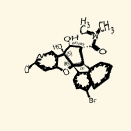 CN(C)C(=O)[C@H]1[C@@H](O)[C@@]2(O)c3cnc(Cl)cc3O[C@@]2(c2ccc(Br)cc2)[C@@H]1c1ccccc1